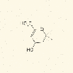 CC1(C)CC(O)C=C(C(=O)O)O1